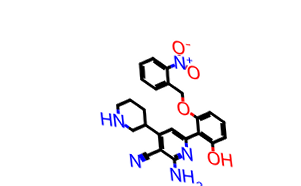 N#Cc1c(C2CCCNC2)cc(-c2c(O)cccc2OCc2ccccc2[N+](=O)[O-])nc1N